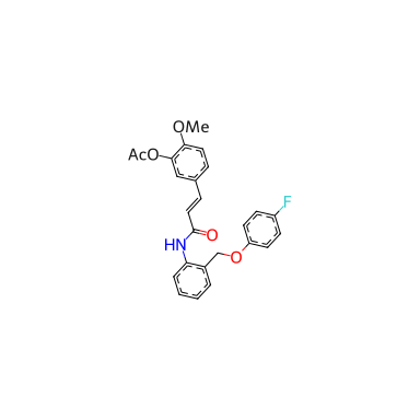 COc1ccc(C=CC(=O)Nc2ccccc2COc2ccc(F)cc2)cc1OC(C)=O